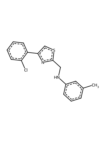 Cc1cccc(NCc2nc(-c3ccccc3Cl)cs2)c1